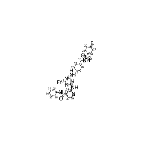 CCc1nc(NCC2CCC(CNS(=O)(=O)c3ccc(F)cc3)CC2)nc(Nc2cc(C(=O)Nc3ccccc3)ccn2)n1